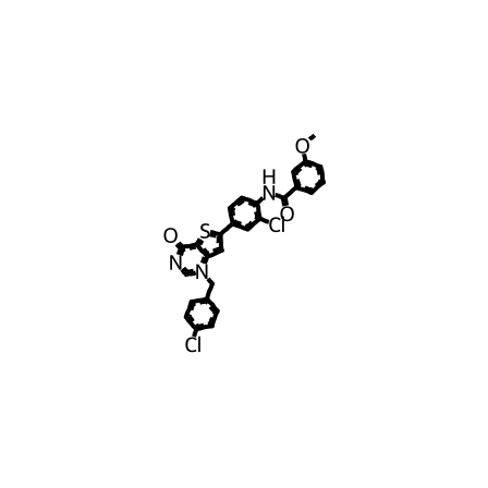 COc1cccc(C(=O)Nc2ccc(-c3cc4c(s3)c(=O)ncn4Cc3ccc(Cl)cc3)cc2Cl)c1